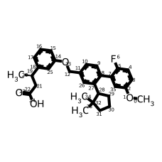 COc1ccc(F)c(-c2ccc(COc3cccc([C@H](C)CC(=O)O)c3)cc2C2CCCC2(C)C)c1